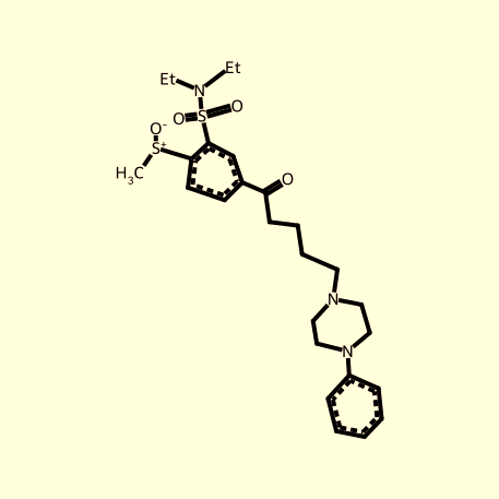 CCN(CC)S(=O)(=O)c1cc(C(=O)CCCCN2CCN(c3ccccc3)CC2)ccc1[S+](C)[O-]